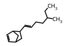 CCC(C)CC/C=C/C1CC2C=CC1C2